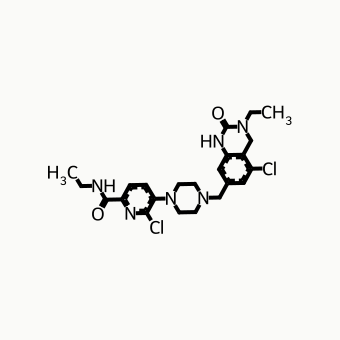 CCNC(=O)c1ccc(N2CCN(Cc3cc(Cl)c4c(c3)NC(=O)N(CC)C4)CC2)c(Cl)n1